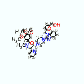 COc1cc(C(=O)N(C)CC(CCN2CCCN(c3nc4ccccc4n3Cc3ccc(CO)o3)CC2)c2ccccn2)cc(OC)c1OC